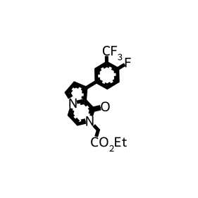 CCOC(=O)Cn1ccn2ccc(-c3ccc(F)c(C(F)(F)F)c3)c2c1=O